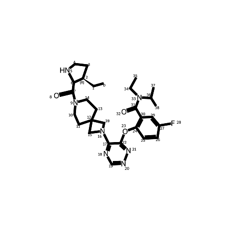 CC[C@@H]1CCNC1C(=O)N1CCC2(CC1)CN(c1ncnnc1Oc1ccc(F)cc1C(=O)N(CC)C(C)C)C2